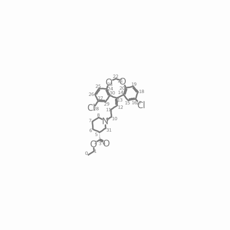 CCOC(=O)[C@@H]1CCCN(CCC=C2c3cc(Cl)ccc3OCOc3ccc(Cl)cc32)C1